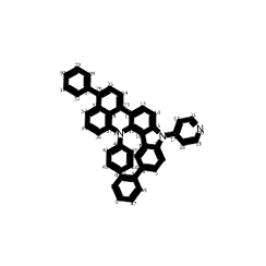 c1ccc(-c2ccc3c(c2)c2c4c(ccc2n3-c2ccncc2)-c2ccc(-c3ccccc3)c3cccc(c23)N4c2ccccc2)cc1